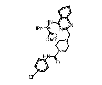 COC(=O)[C@@H](Nc1nc(CN2CCN(C(=O)Nc3ccc(Cl)cc3)CC2)nc2ccccc12)C(C)C